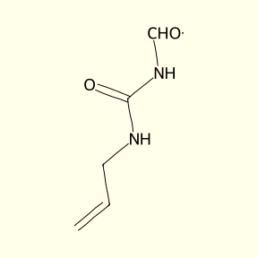 C=CCNC(=O)N[C]=O